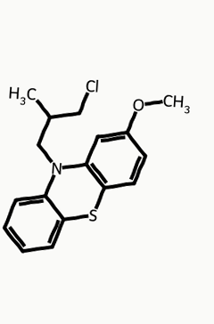 COc1ccc2c(c1)N(CC(C)CCl)c1ccccc1S2